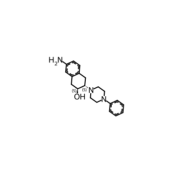 Nc1ccc2c(c1)C[C@H](O)[C@@H](N1CCN(c3ccccc3)CC1)C2